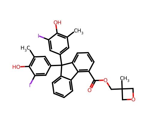 Cc1cc(C2(c3cc(C)c(O)c(I)c3)c3ccccc3-c3c(C(=O)OCC4(C)COC4)cccc32)cc(I)c1O